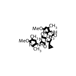 COc1cc(C)c(NC(=O)OCC(C2CC2)n2cc(Cl)nc(Nc3cc(C)c(OC)nc3C)c2=O)c(C)n1